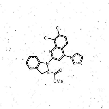 COC(=O)[C@@H]1Cc2ccccc2N1c1cc(-n2ccnc2)c2ccc(Cl)c(Cl)c2n1